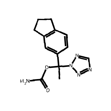 CC(OC(N)=O)(c1ccc2c(c1)CCC2)n1ncnn1